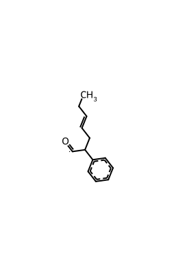 CC/C=C/CC([C]=O)c1ccccc1